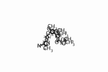 COc1ccc(C2=CN(C(=O)C3COC(C)(C)O3)C[C@@]2(C)[C@@H](C)O)cc1OC1CN(c2cc(C#N)c(C)cn2)C1